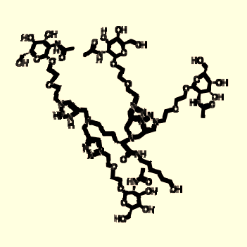 CC(=O)N[C@H]1[C@H](OCCOCCN2C=C(CN(CCCC[C@@H](C(=O)NCCCCCCO)N(Cc3cn(CCOCCO[C@@H]4O[C@H](CO)[C@H](O)[C@H](O)[C@H]4NC(C)=O)nn3)Cc3cn(CCOCCO[C@@H]4O[C@H](CO)[C@H](O)[C@H](O)[C@H]4NC(C)=O)nn3)Cc3cn(CCOCCO[C@@H]4O[C@H](CO)[C@H](O)[C@H](O)[C@H]4NC(C)=O)nn3)NN2)O[C@H](CO)[C@H](O)[C@@H]1O